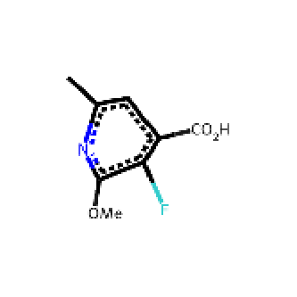 COc1nc(C)cc(C(=O)O)c1F